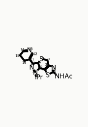 CC(=O)Nc1nc2c(s1)C1C(SC2)C(C2=CN=CCC2)=NN1C(C)C